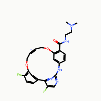 CN(C)CCNC(=O)c1ccc2cc1OC/C=C\COc1cc(ccc1F)-c1nc(ncc1F)N2